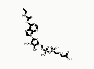 CCNC(=O)Nc1ncnc2c1ncn2[C@@H]1O[C@H](COP(=O)(O)OP(=O)(O)CNCC(=O)O)C(O)[C@@H]1O